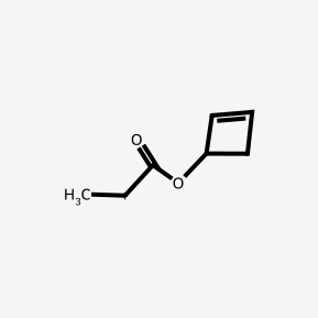 C[CH]C(=O)OC1C=CC1